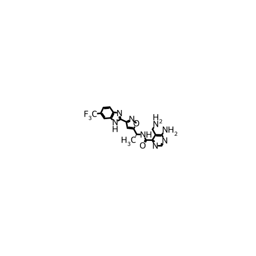 C[C@@H](NC(=O)c1ncnc(N)c1CN)c1cc(-c2nc3ccc(C(F)(F)F)cc3[nH]2)no1